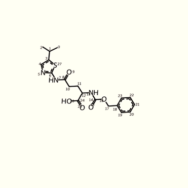 CC(C)c1cnc(NC(=O)CCC(NC(=O)OCc2ccccc2)C(=O)O)s1